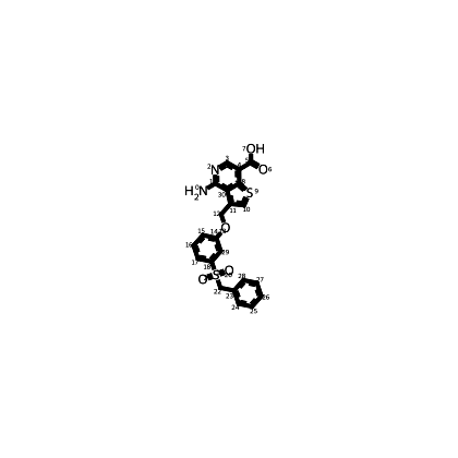 Nc1ncc(C(=O)O)c2scc(COc3cccc(S(=O)(=O)Cc4ccccc4)c3)c12